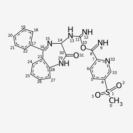 CS(=O)(=O)c1ccc(C(=N)OC(=N)NC2N=C(c3ccccc3)c3ccccc3NC2=O)nc1